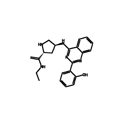 C=C(NCC)[C@H]1C[C@H](Nc2nc(-c3ccccc3O)nc3ccccc23)CN1